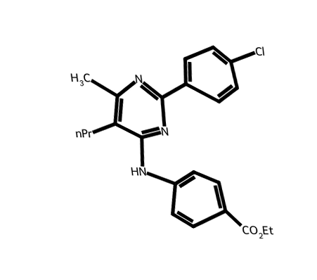 CCCc1c(C)nc(-c2ccc(Cl)cc2)nc1Nc1ccc(C(=O)OCC)cc1